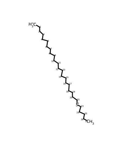 CCCCCCCCCCCCCCCCCCCCC[CH]SCCCCC